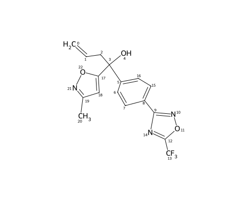 C=CCC(O)(c1ccc(-c2noc(C(F)(F)F)n2)cc1)c1cc(C)no1